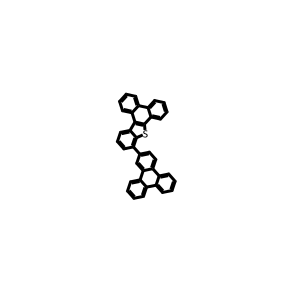 c1ccc2c(c1)c1ccccc1c1cc(-c3cccc4c3sc3c5ccccc5c5ccccc5c43)ccc21